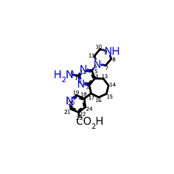 Nc1nc2c(c(N3CCNCC3)n1)CCCCC2c1cncc(C(=O)O)c1